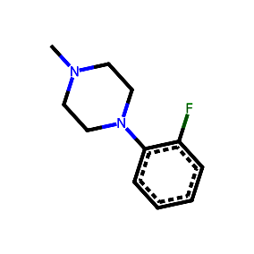 CN1CCN(c2ccccc2F)CC1